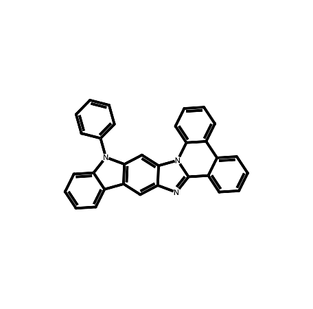 c1ccc(-n2c3ccccc3c3cc4nc5c6ccccc6c6ccccc6n5c4cc32)cc1